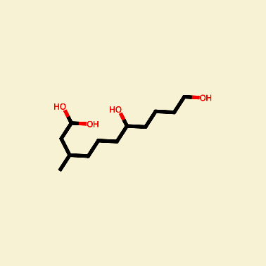 CC(CCCC(O)CCCCO)CC(O)O